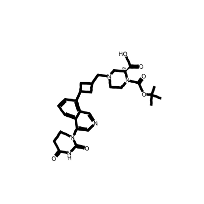 CC(C)(C)OC(=O)N1CCN(CC2CC(c3cccc4c(N5CCC(=O)NC5=O)cncc34)C2)C[C@H]1C(=O)O